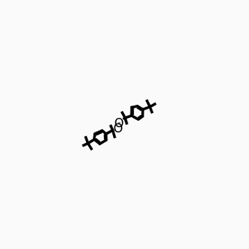 CC(C)(C)c1ccc(C(C)(C)OOC(C)(C)c2ccc(C(C)(C)C)cc2)cc1